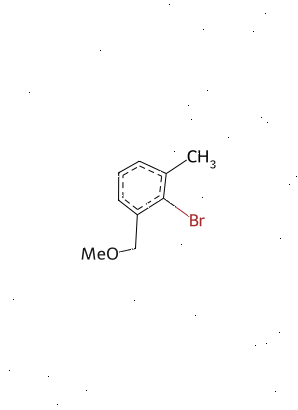 COCc1cccc(C)c1Br